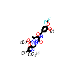 CCOc1cc(-c2nc(C(=O)NCc3ccc(CC)c(C(=O)O)n3)c(C(C)NC(=O)OC(C)(C)C)o2)ccc1OC(F)F